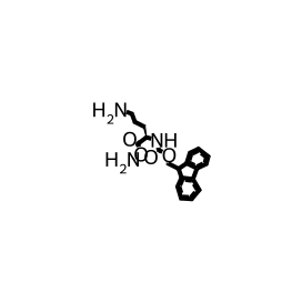 NCCC[C@@H](NC(=O)OCC1c2ccccc2-c2ccccc21)C(=O)ON